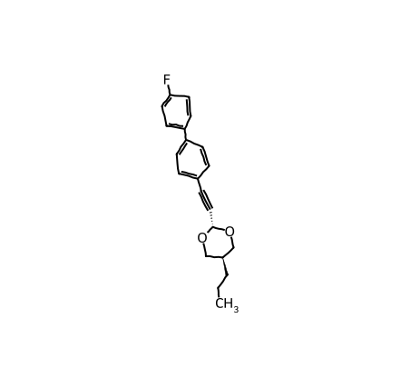 CCC[C@H]1CO[C@H](C#Cc2ccc(-c3ccc(F)cc3)cc2)OC1